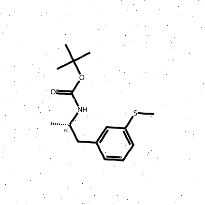 CSc1cccc(C[C@H](C)NC(=O)OC(C)(C)C)c1